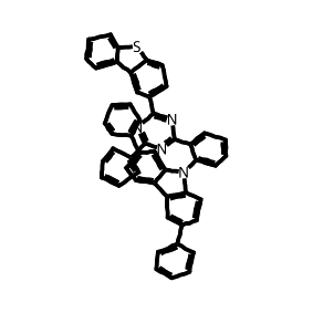 c1ccc(-c2ccc3c(c2)c2ccc(-c4ccccc4)cc2n3-c2ccccc2-c2nc(-c3ccccc3)nc(-c3ccc4sc5ccccc5c4c3)n2)cc1